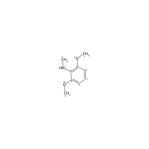 CNc1c(OC)cccc1OC